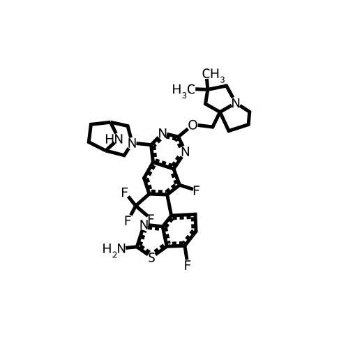 CC1(C)CN2CCCC2(COc2nc(N3CC4CCC(C3)N4)c3cc(C(F)(F)F)c(-c4ccc(F)c5sc(N)nc45)c(F)c3n2)C1